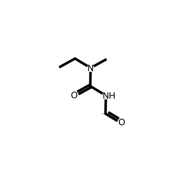 CCN(C)C(=O)N[C]=O